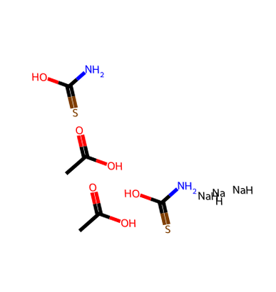 CC(=O)O.CC(=O)O.NC(O)=S.NC(O)=S.[NaH].[NaH].[NaH]